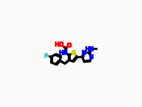 CNc1nccc(-c2cc(Cc3ccc(F)cc3)c(NC(=O)O)s2)n1